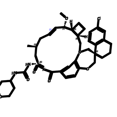 CO[C@H]1/C=C/C[C@H](C)C[S@@](=O)(NC(=O)NC2CCOCC2)=NC(=O)c2ccc3c(c2)N(C[C@@H]2CC[C@H]21)C[C@@]1(CCCc2cc(Cl)ccc21)CO3